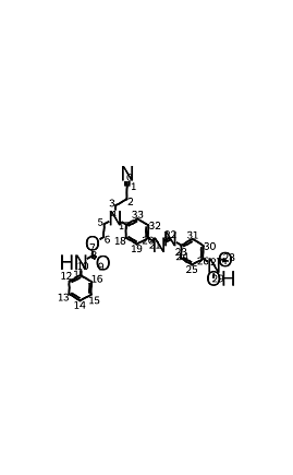 N#CCCN(CCOC(=O)Nc1ccccc1)c1ccc(/N=N/c2ccc([N+](=O)O)cc2)cc1